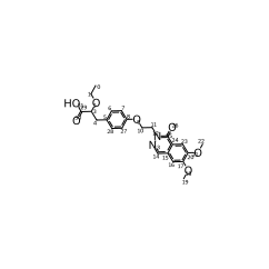 CCOC(Cc1ccc(OCCn2ncc3cc(OC)c(OC)cc3c2=O)cc1)C(=O)O